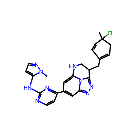 Cn1nccc1Nc1nccc(-c2cc3n4c(nnc4c2)C(CC2=CCC(C)(Cl)C=C2)CN3)n1